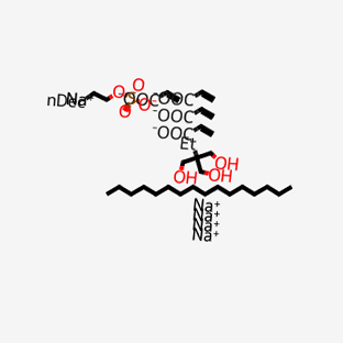 C=CC(=O)[O-].C=CC(=O)[O-].C=CC(=O)[O-].C=CC(=O)[O-].CCC(CO)(CO)CO.CCCCCCCCCCCCCCCC.CCCCCCCCCCCCOS(=O)(=O)[O-].[Na+].[Na+].[Na+].[Na+].[Na+]